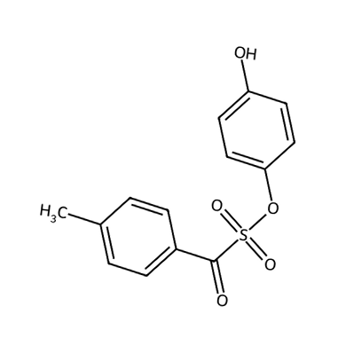 Cc1ccc(C(=O)S(=O)(=O)Oc2ccc(O)cc2)cc1